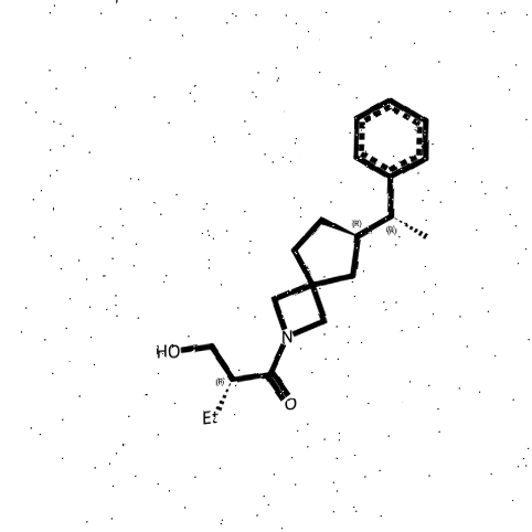 CC[C@H](CO)C(=O)N1CC2(CC[C@@H]([C@@H](C)c3ccccc3)C2)C1